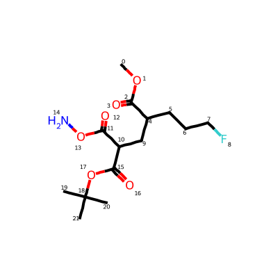 COC(=O)C(CCCF)CC(C(=O)ON)C(=O)OC(C)(C)C